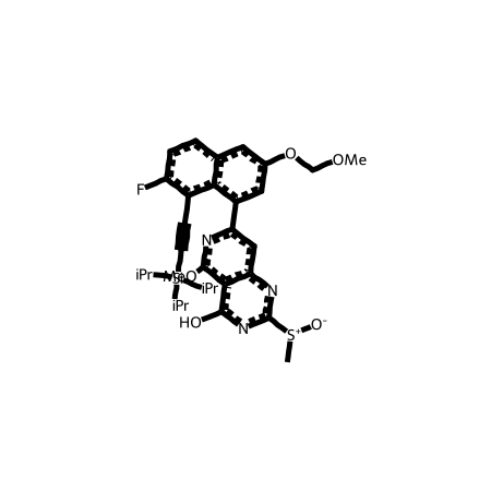 COCOc1cc(-c2cc3nc([S+](C)[O-])nc(O)c3c(OC)n2)c2c(C#C[Si](C(C)C)(C(C)C)C(C)C)c(F)ccc2c1